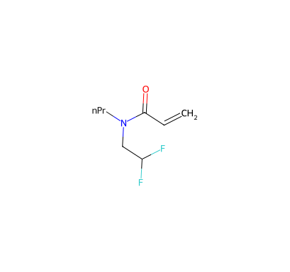 C=CC(=O)N(CCC)CC(F)F